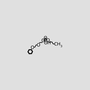 CCCCOP(=O)(O)OCCOCCOc1ccccc1